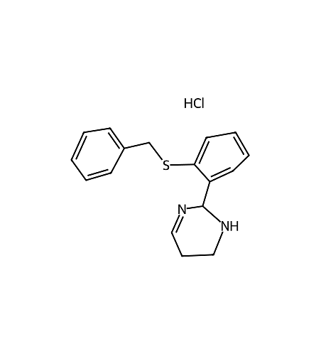 C1=NC(c2ccccc2SCc2ccccc2)NCC1.Cl